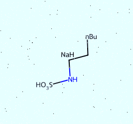 CCCCCCNS(=O)(=O)O.[NaH]